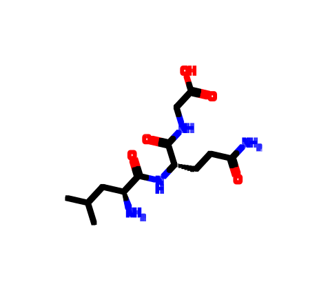 CC(C)C[C@H](N)C(=O)N[C@@H](CCC(N)=O)C(=O)NCC(=O)O